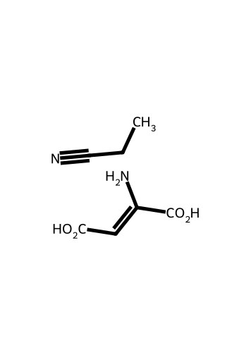 CCC#N.N/C(=C\C(=O)O)C(=O)O